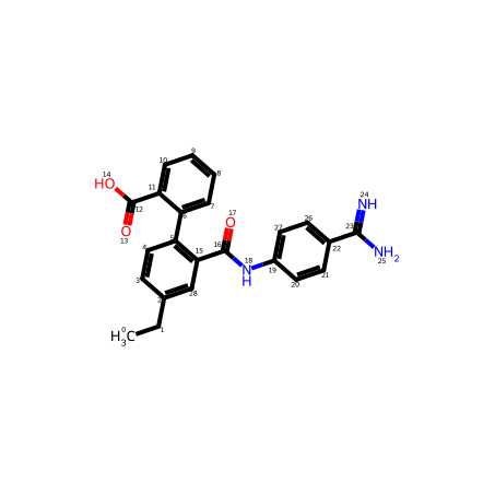 CCc1ccc(-c2ccccc2C(=O)O)c(C(=O)Nc2ccc(C(=N)N)cc2)c1